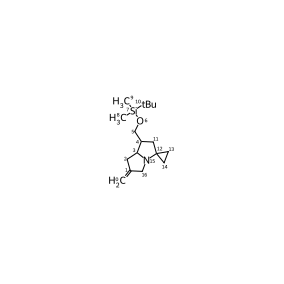 C=C1CC2C(CO[Si](C)(C)C(C)(C)C)CC3(CC3)N2C1